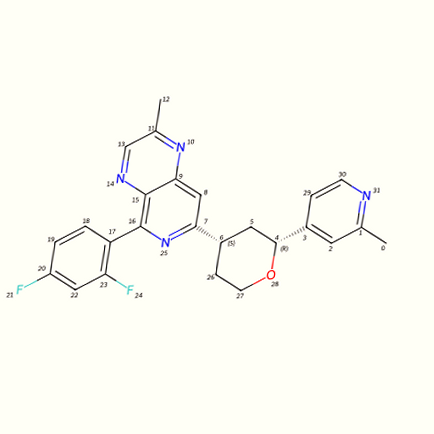 Cc1cc([C@H]2C[C@@H](c3cc4nc(C)cnc4c(-c4ccc(F)cc4F)n3)CCO2)ccn1